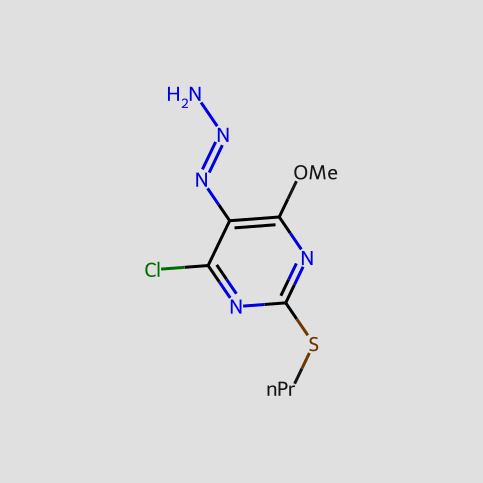 CCCSc1nc(Cl)c(N=NN)c(OC)n1